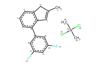 CC1=Cc2c(cccc2-c2cc(F)cc(F)c2)C1.C[Si](C)(Cl)Cl